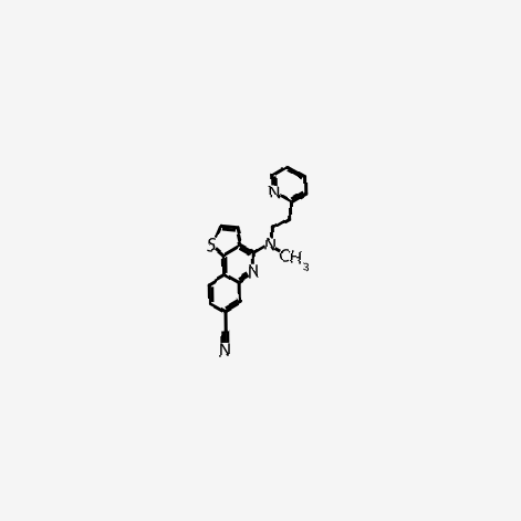 CN(CCc1ccccn1)c1nc2cc(C#N)ccc2c2sccc12